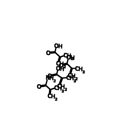 C=C(C)C(=O)O.C=C(C)C(=O)O.C=C(C)C(=O)O.C=C(C)C(N)=O